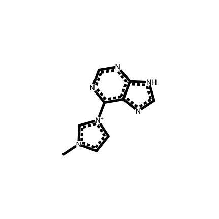 Cn1cc[n+](-c2ncnc3[nH]cnc23)c1